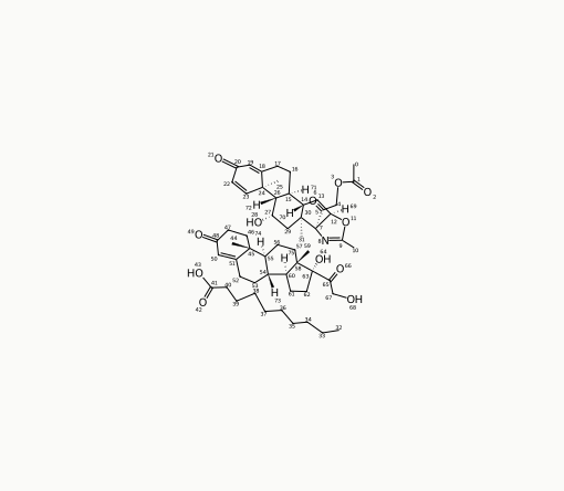 CC(=O)OCC(=O)[C@@]12N=C(C)O[C@@H]1C[C@H]1[C@@H]3CCC4=CC(=O)C=C[C@]4(C)[C@H]3[C@@H](O)C[C@@]12C.CCCCCCCCCC(=O)O.C[C@]12CCC(=O)C=C1CC[C@@H]1[C@@H]2CC[C@@]2(C)[C@H]1CC[C@]2(O)C(=O)CO